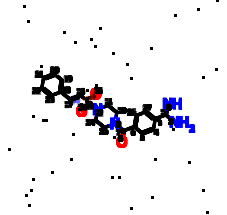 N=C(N)c1ccc(C(=O)N2CCN(S(=O)(=O)/C=C/c3ccccc3)CC2)cc1